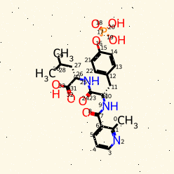 Cc1ncccc1C(=O)N[C@@H](Cc1ccc(OP(=O)(O)O)cc1)C(=O)N[C@@H](CC(C)C)C(=O)O